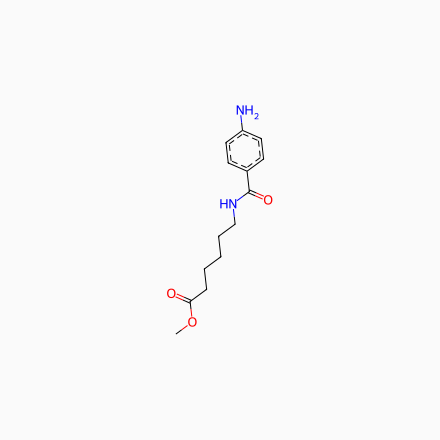 COC(=O)CCCCCNC(=O)c1ccc(N)cc1